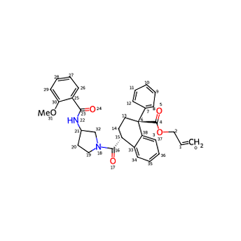 C=CCOC(=O)[C@]1(c2ccccc2)CC[C@@H](C(=O)N2CCC(NC(=O)c3ccccc3OC)C2)c2ccccc21